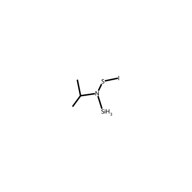 CC(C)N([SiH3])SI